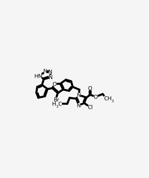 CCCc1nc(Cl)c(C(=O)OCC)n1Cc1ccc2oc(-c3ccccc3-c3nnn[nH]3)c(Br)c2c1